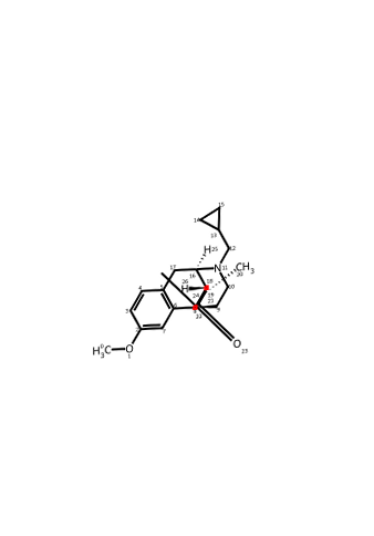 COc1ccc2c(c1)[C@]13CCN(CC4CC4)[C@H](C2)[C@@H]1[C@@H](C)CC(=O)C3